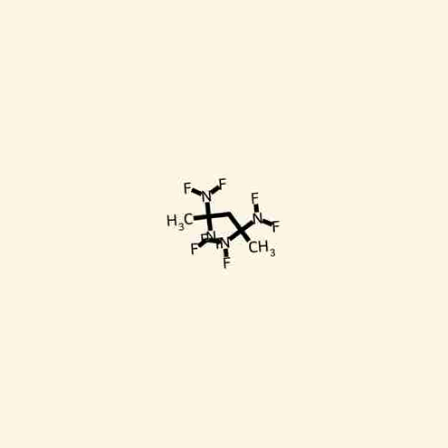 CC(CC(C)(N(F)F)N(F)F)(N(F)F)N(F)F